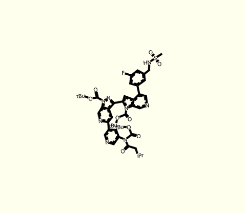 CC(C)CC(=O)N(C(=O)OC(C)(C)C)c1cncc(-c2cc3c(-c4cc5c(-c6cc(F)cc(CNS(C)(=O)=O)c6)cncc5n4C(=O)OC(C)(C)C)nn(C(=O)OC(C)(C)C)c3cn2)c1